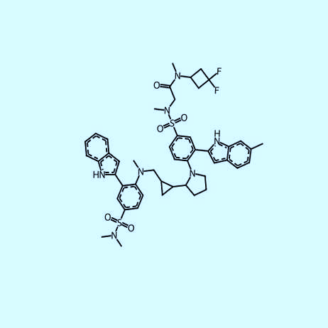 Cc1ccc2cc(-c3cc(S(=O)(=O)N(C)CC(=O)N(C)C4CC(F)(F)C4)ccc3N3CCCC3C3CC3CN(C)c3ccc(S(=O)(=O)N(C)C)cc3-c3cc4ccccc4[nH]3)[nH]c2c1